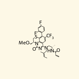 C=CC(=O)N[C@@H](C)CN(C/C(C)=C\C)c1nc(=O)n2c3c(c(-c4ccc(F)cc4F)c(C(F)(F)F)cc13)SC[C@@H]2COC